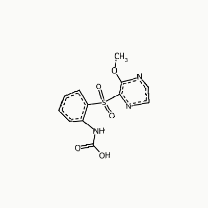 COc1nccnc1S(=O)(=O)c1ccccc1NC(=O)O